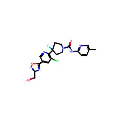 Cc1ccc(NC(=O)N2CCC(F)(c3ncc(-c4nc(CO)no4)cc3Cl)CC2)nc1